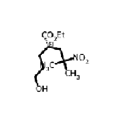 CCOC(=O)[C@@H](CCCO)CC(C)(C)[N+](=O)[O-]